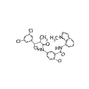 CC(C(=O)Nc1ccc(Cl)c(C(=O)Nc2cccc3ccn(C)c23)c1)C(Cl)c1cc(Cl)cc(Cl)c1